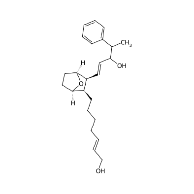 CC(c1ccccc1)C(O)C=C[C@H]1[C@@H](CCCCC=CCO)[C@H]2CC[C@@H]1O2